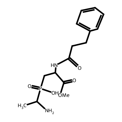 COC(=O)C(CP(=O)(O)C(C)N)NC(=O)CCc1ccccc1